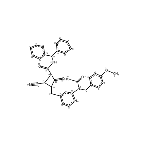 COc1ccc(CN(C(=O)O)c2cc(CC3C(=O)N(C(=O)NC(c4ccccc4)c4ccccc4)C3C#N)ccn2)cc1